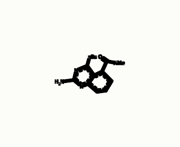 CCCCc1nc(N)nc2cccc(C(=O)NC)c12